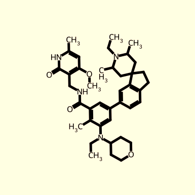 CCN(c1cc(-c2ccc3c(c2)C2(CC3)CC(C)N(CC)C(C)C2)cc(C(=O)NCc2c(OC)cc(C)[nH]c2=O)c1C)C1CCOCC1